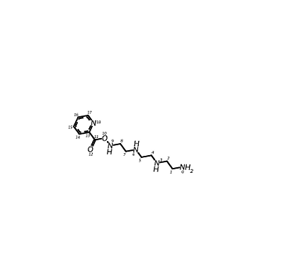 NCCNCCNCCNOC(=O)c1ccccn1